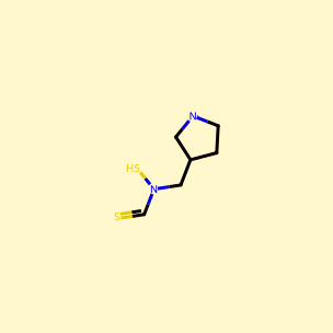 S=CN(S)CC1CC[N]C1